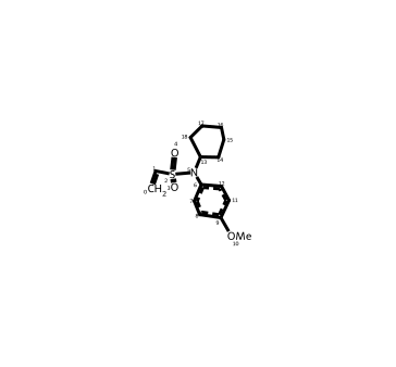 C=CS(=O)(=O)N(c1ccc(OC)cc1)C1CCCCC1